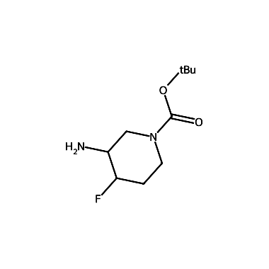 CC(C)(C)OC(=O)N1CCC(F)C(N)C1